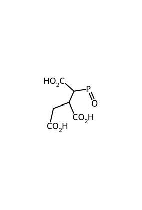 O=PC(C(=O)O)C(CC(=O)O)C(=O)O